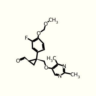 COCOc1ccc([C@]2(COc3cnc(C)nc3C)C[C@H]2C=O)cc1F